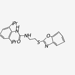 CC(C)c1cccc(C(C)C)c1NC(=O)NCCSc1nc2ccccc2o1